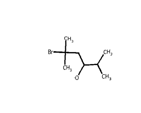 CC(C)C([O])CC(C)(C)Br